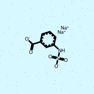 O=C([O-])c1cccc(NS(=O)(=O)[O-])c1.[Na+].[Na+]